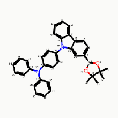 CC1(C)OB(c2ccc3c4ccccc4n(-c4ccc(N(c5ccccc5)c5ccccc5)cc4)c3c2)OC1(C)C